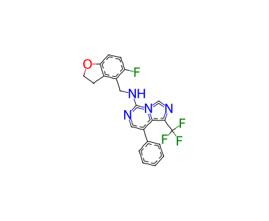 Fc1ccc2c(c1CNc1ncc(-c3ccccc3)c3c(C(F)(F)F)ncn13)CCO2